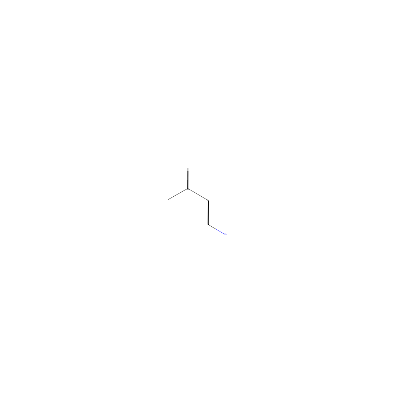 CCC(C)CC[N]